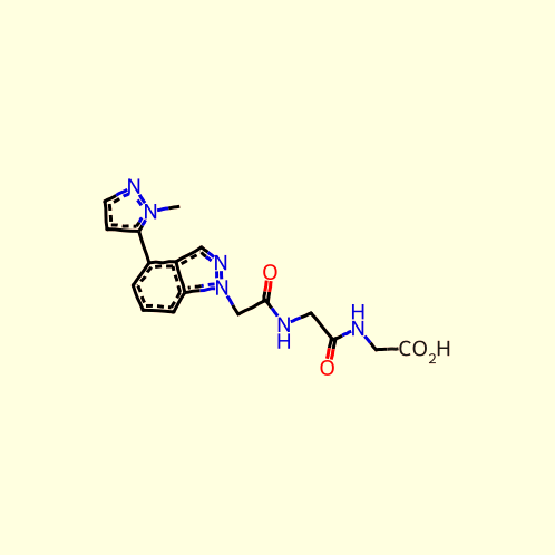 Cn1nccc1-c1cccc2c1cnn2CC(=O)NCC(=O)NCC(=O)O